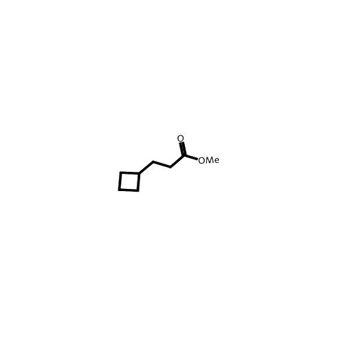 COC(=O)CCC1CCC1